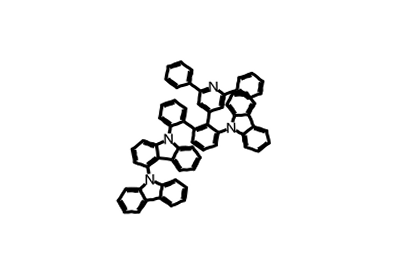 c1ccc(-c2cc(-c3c(-c4ccccc4-n4c5ccccc5c5c(-n6c7ccccc7c7ccccc76)cccc54)cccc3-n3c4ccccc4c4ccccc43)cc(-c3ccccc3)n2)cc1